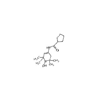 CC1(C)C=C(NC(=O)C2CCCC2)CC(C)(C)N1O